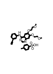 C#Cc1cccc(Nc2ncnc3cc(OCCOC)c(OCCOC)cc23)c1.Cc1ccc(S(=O)(=O)O)cc1